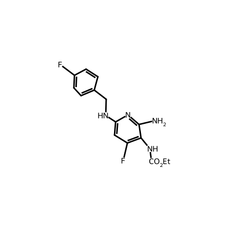 CCOC(=O)Nc1c(F)cc(NCc2ccc(F)cc2)nc1N